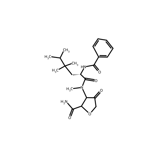 CC(C)C(C)(C)C[C@H](NC(=O)c1ccccc1)C(=O)N(C)C1C(=O)COC1C(N)=O